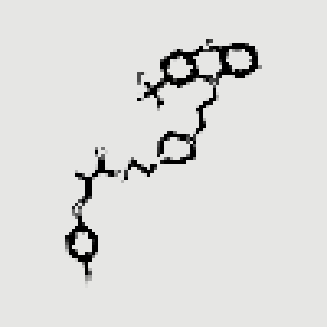 CC(COc1ccc(F)cc1)C(=O)OCCN1CCN(CCCN2c3ccccc3Sc3ccc(C(F)(F)F)cc32)CC1